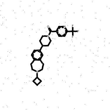 O=C(c1ccc(C(F)(F)F)nc1)N1CCC(c2ccc3c(c2)CCN(C2CCC2)CC3)CC1